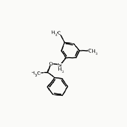 Cc1cc(C)cc([SiH2]OC(C)c2ccccc2)c1